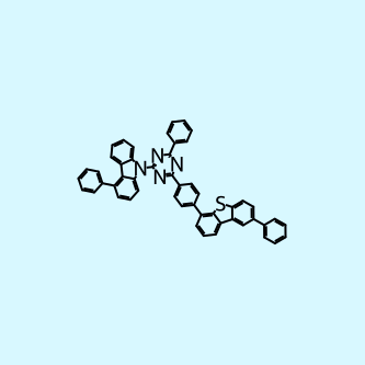 c1ccc(-c2ccc3sc4c(-c5ccc(-c6nc(-c7ccccc7)nc(-n7c8ccccc8c8c(-c9ccccc9)cccc87)n6)cc5)cccc4c3c2)cc1